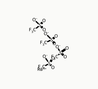 O=S(=O)([O-])C(F)(F)F.O=S(=O)([O-])C(F)(F)F.O=S(=O)([O-])C(F)(F)F.O=S(=O)([O-])C(F)(F)F.[Ru+4]